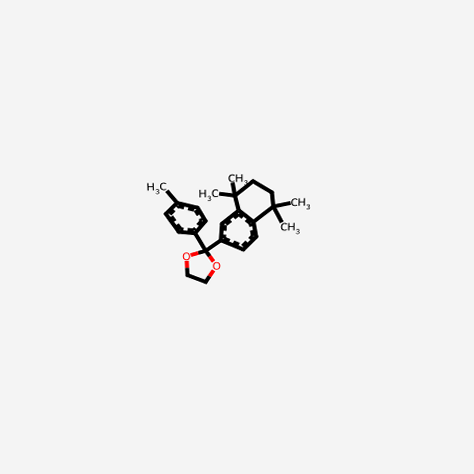 Cc1ccc(C2(c3ccc4c(c3)C(C)(C)CCC4(C)C)OCCO2)cc1